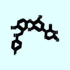 O=c1cnn(-c2cc(Br)c(Oc3ccc(O)c(CNc4ccc(F)cc4)c3)c(Br)c2)c(=O)[nH]1